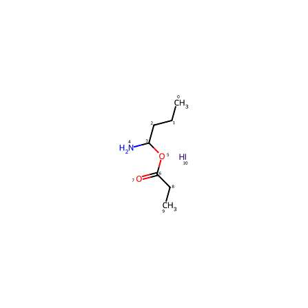 CCCC(N)OC(=O)CC.I